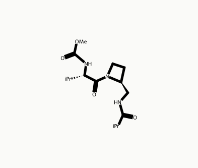 COC(=O)N[C@H](C(=O)N1CC[C@H]1CNC(=O)C(C)C)C(C)C